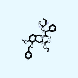 C/C=C\C(=N/C)O[C@H](C(=O)N1Cc2ccc(OC)c(OCc3ccccc3)c2C[C@H]1C(=O)OCC)c1ccccc1